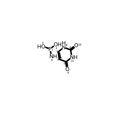 NP(O)O.O=c1cc[nH]c(=O)[nH]1